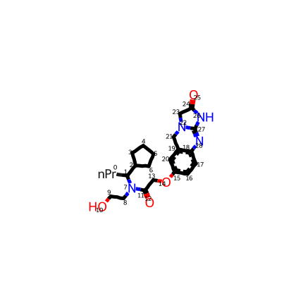 CCCC(C1CCCC1)N(CCO)C(=O)COc1ccc2c(c1)CN1CC(=O)NC1=N2